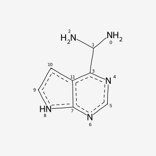 NC(N)c1ncnc2[nH]ccc12